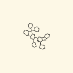 c1ccc(-c2cc3c(cc2-c2nc(-c4ccccc4)c4oc5ccccc5c4n2)C(c2ccccc2)(c2ccccc2)c2ccccc2-3)cc1